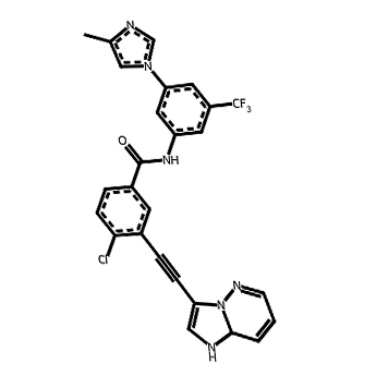 Cc1cn(-c2cc(NC(=O)c3ccc(Cl)c(C#CC4=CNC5C=CC=NN45)c3)cc(C(F)(F)F)c2)cn1